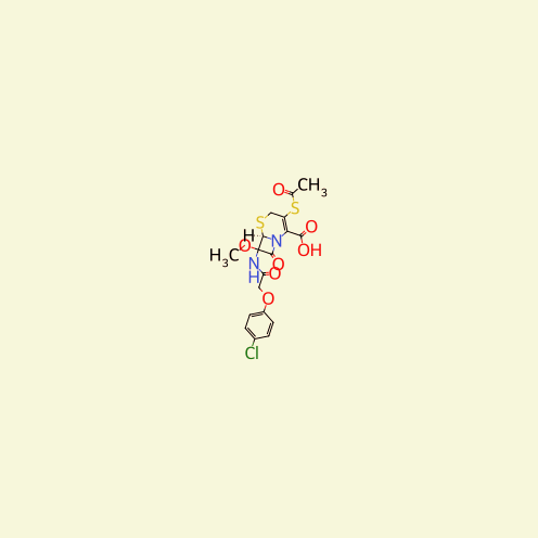 COC1(NC(=O)COc2ccc(Cl)cc2)C(=O)N2C(C(=O)O)=C(SC(C)=O)CS[C@@H]21